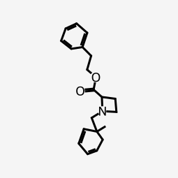 CC1(CN2CCC2C(=O)OCCc2ccccc2)C=CC=CC1